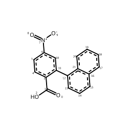 O=C(O)c1ccc([N+](=O)[O-])cc1-c1cccc2ccccc12